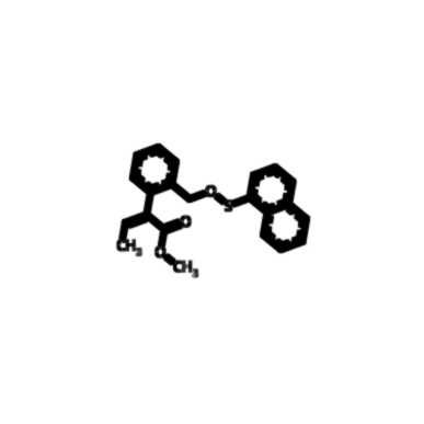 CC=C(C(=O)OC)c1ccccc1COSc1cccc2ccccc12